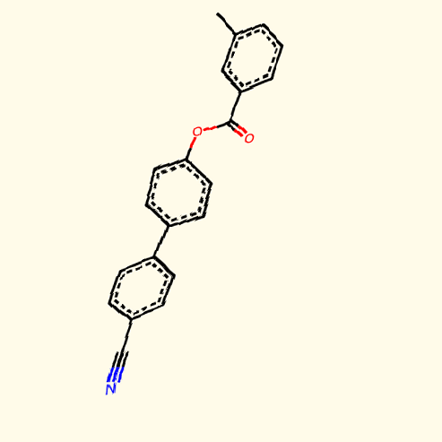 Cc1cccc(C(=O)Oc2ccc(-c3ccc(C#N)cc3)cc2)c1